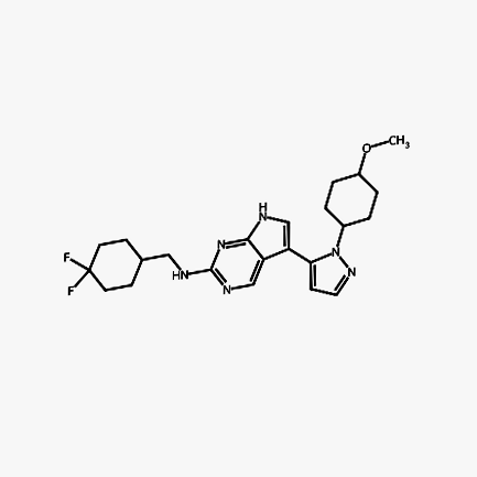 COC1CCC(n2nccc2-c2c[nH]c3nc(NCC4CCC(F)(F)CC4)ncc23)CC1